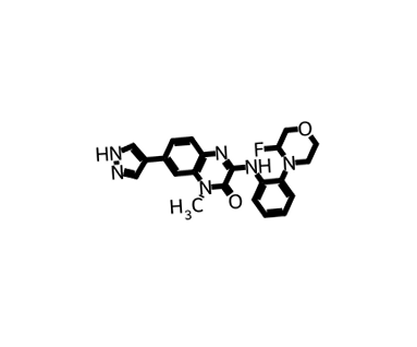 Cn1c(=O)c(Nc2ccccc2N2CCOCC2F)nc2ccc(-c3cn[nH]c3)cc21